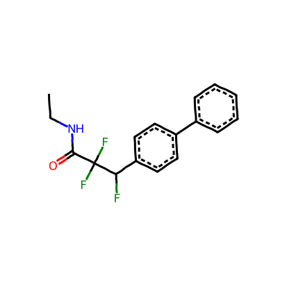 CCNC(=O)C(F)(F)C(F)c1ccc(-c2ccccc2)cc1